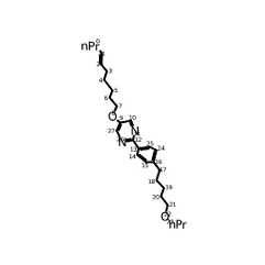 CCCC=CCCCCCOc1cnc(-c2ccc(CCCCCOCCC)cc2)nc1